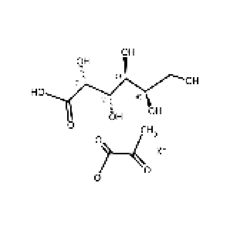 CC(=O)C(=O)[O-].O=C(O)[C@H](O)[C@@H](O)[C@@H](O)[C@H](O)CO.[K+]